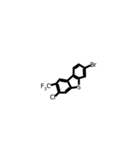 FC(F)(F)c1cc2c(cc1Cl)sc1cc(Br)ccc12